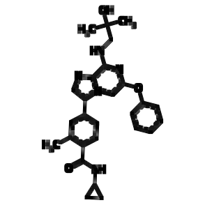 Cc1cc(-c2cnc3c(NCC(C)(C)O)nc(Oc4ccccc4)cn23)ccc1C(=O)NC1CC1